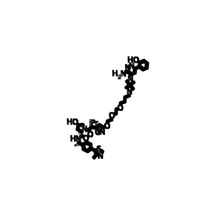 Cc1ncsc1-c1ccc([C@H](C)NC(=O)[C@@H]2C[C@@H](O)CN2C(=O)[C@H](c2cc(OCCOCCOCCCCN3CC4(C3)CN(c3cc(-c5ccccc5O)nnc3N)C4)no2)C(C)C)cc1